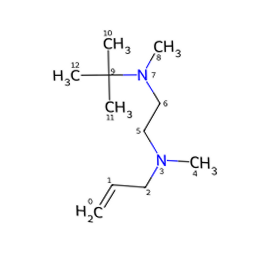 C=CCN(C)CCN(C)C(C)(C)C